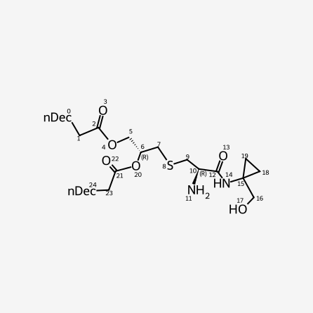 CCCCCCCCCCCC(=O)OC[C@H](CSC[C@H](N)C(=O)NC1(CO)CC1)OC(=O)CCCCCCCCCCC